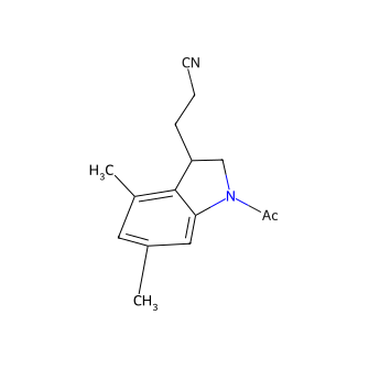 CC(=O)N1CC(CCC#N)c2c(C)cc(C)cc21